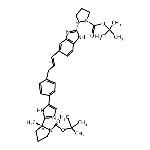 CC(C)(C)OC(=O)N1CCC[C@H]1c1nc2cc(/C=C/Cc3ccc(-c4cnc([C@@]5(C)CCCN5C(=O)OC(C)(C)C)[nH]4)cc3)ccc2[nH]1